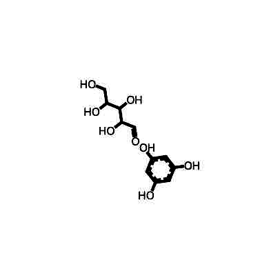 O=CC(O)C(O)C(O)CO.Oc1cc(O)cc(O)c1